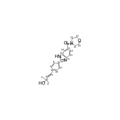 CC(C)(O)C#Cc1ccc(-c2nc3ccc(C(=O)N4CCOCC4)cc3[nH]2)cc1